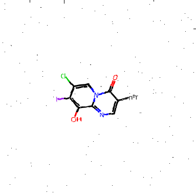 CCCc1cnc2c(O)c(I)c(Cl)cn2c1=O